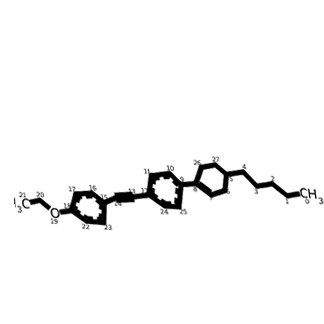 CCCCCC1CC=C(c2ccc(C#Cc3ccc(OCC)cc3)cc2)CC1